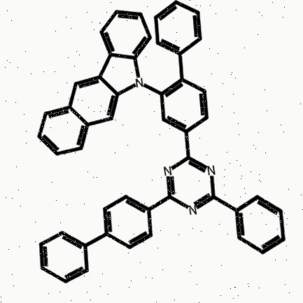 c1ccc(-c2ccc(-c3nc(-c4ccccc4)nc(-c4ccc(-c5ccccc5)c(-n5c6ccccc6c6cc7ccccc7cc65)c4)n3)cc2)cc1